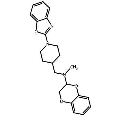 CN(CC1CCN(c2nc3ccccc3o2)CC1)C1COc2ccccc2O1